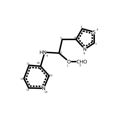 O=COC(Cc1cscn1)Nc1cccnc1